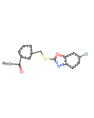 COC(=O)c1cccc(CSc2nc3ccc(Cl)cc3o2)c1